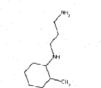 CC1CCCCC1NCCCN